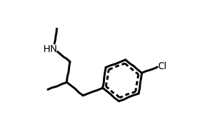 CNCC(C)Cc1ccc(Cl)cc1